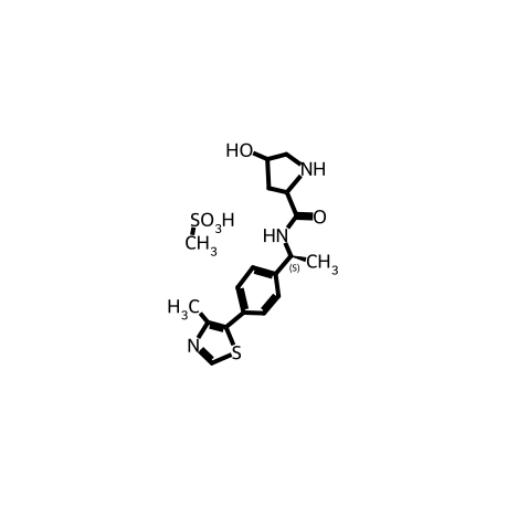 CS(=O)(=O)O.Cc1ncsc1-c1ccc([C@H](C)NC(=O)C2CC(O)CN2)cc1